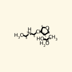 C1CCOC1.CCNCC.CCO.O